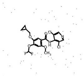 COc1cc(OC(F)F)c(OCC2CC2)cc1C(=O)Nc1c(Cl)cncc1Cl